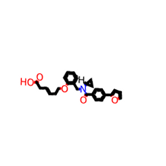 [2H]C1(N(Cc2ccccc2OCC/C=C/CC(=O)O)C(=O)c2ccc(-c3ccco3)cc2)CC1